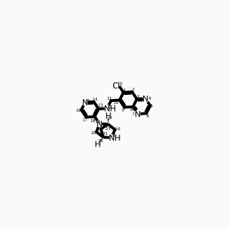 Clc1cc2nccnc2cc1CNc1cnccc1N1C[C@H]2C[C@@H]1CN2